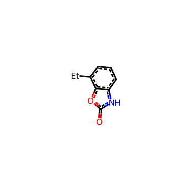 [CH2]Cc1cccc2[nH]c(=O)oc12